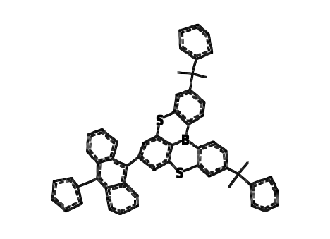 CC(C)(c1ccccc1)c1ccc2c(c1)Sc1cc(-c3c4ccccc4c(-c4ccccc4)c4ccccc34)cc3c1B2c1ccc(C(C)(C)c2ccccc2)cc1S3